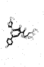 C[C@@H](C[S+](C)[O-])NC(=O)c1cc(-c2ccc(Cl)cc2)nn(-c2cnn(C)c2)c1=O